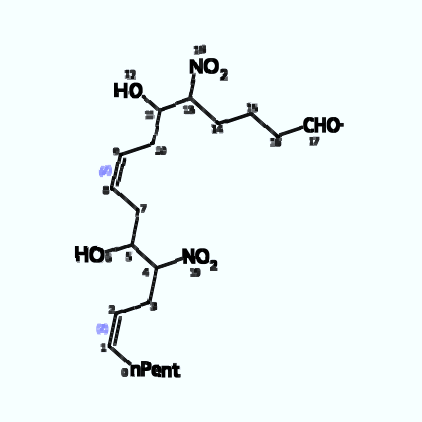 CCCCC/C=C\CC(C(O)C/C=C\CC(O)C(CCC[C]=O)[N+](=O)[O-])[N+](=O)[O-]